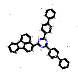 c1ccc(-c2ccc(-c3nc(-c4ccc(-c5ccccc5)cc4)nc(-c4ccc5c6c(cccc46)-c4ccccc4-5)n3)cc2)cc1